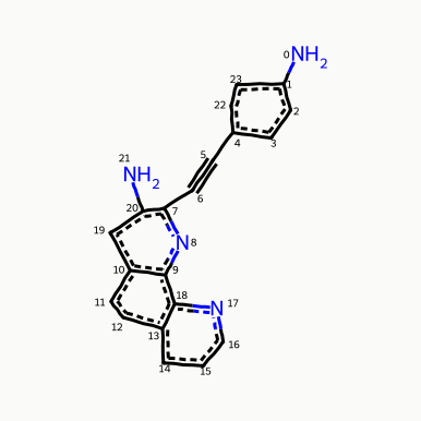 Nc1ccc(C#Cc2nc3c(ccc4cccnc43)cc2N)cc1